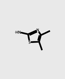 Cc1nc([NH])sc1C